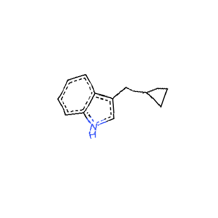 c1ccc2c(C[C]3CC3)c[nH]c2c1